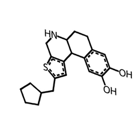 Oc1cc2c(cc1O)C1c3cc(CC4CCCC4)sc3CNC1CC2